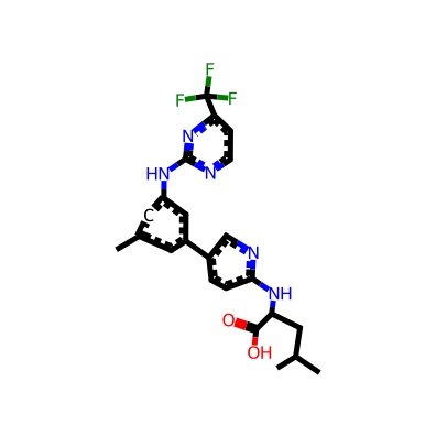 Cc1cc(Nc2nccc(C(F)(F)F)n2)cc(-c2ccc(NC(CC(C)C)C(=O)O)nc2)c1